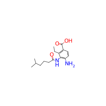 CCc1c(C(=O)O)ccc(N)c1NC(=O)CCCC(C)C